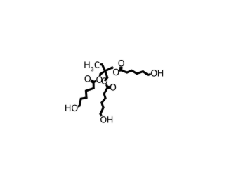 CCC(COC(=O)CCCCCO)(COC(=O)CCCCCO)COC(=O)CCCCCO